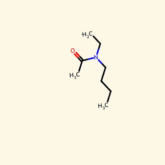 [CH2]CN(CCCC)C(C)=O